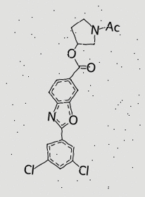 CC(=O)N1CCC(OC(=O)c2ccc3nc(-c4cc(Cl)cc(Cl)c4)oc3c2)C1